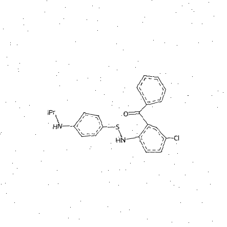 CC(C)Nc1ccc(SNc2ccc(Cl)cc2C(=O)c2ccccc2)cc1